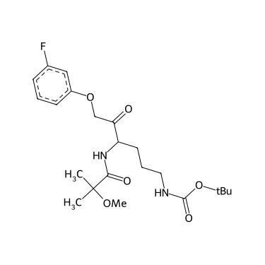 COC(C)(C)C(=O)NC(CCCNC(=O)OC(C)(C)C)C(=O)COc1cccc(F)c1